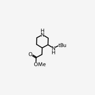 COC(=O)CC1CCNCC1NC(C)(C)C